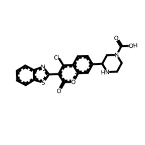 O=C(O)N1CCNC(c2ccc3c(Cl)c(-c4nc5ccccc5s4)c(=O)oc3c2)C1